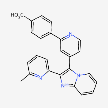 Cc1cccc(-c2nc3ccccn3c2-c2ccnc(-c3ccc(C(=O)O)cc3)c2)n1